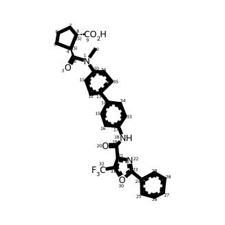 CN(C(=O)[C@H]1CCC[C@@H]1C(=O)O)c1ccc(-c2ccc(NC(=O)c3nc(-c4ccccc4)oc3C(F)(F)F)cc2)cc1